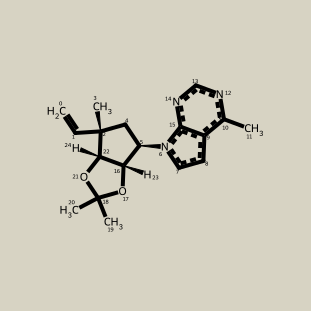 C=C[C@]1(C)C[C@@H](n2ccc3c(C)ncnc32)[C@@H]2OC(C)(C)O[C@@H]21